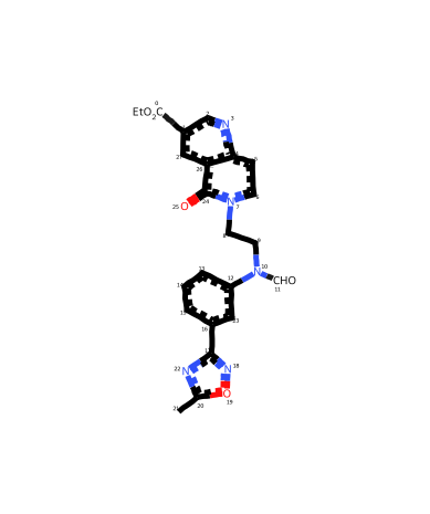 CCOC(=O)c1cnc2ccn(CCN(C=O)c3cccc(-c4noc(C)n4)c3)c(=O)c2c1